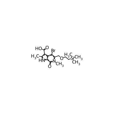 Cc1[nH]c2c(=O)n(C)c(COCC[Si](C)(C)C)c(Br)c2c1C(=O)O